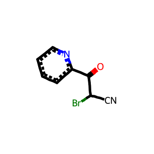 N#CC(Br)C(=O)c1ccccn1